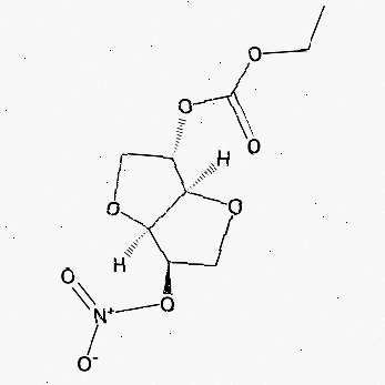 CCOC(=O)O[C@H]1CO[C@H]2[C@@H]1OC[C@H]2O[N+](=O)[O-]